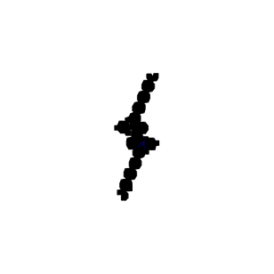 CCC(C)c1ccc(-c2ccc(-c3ccc(-c4ccc(C(c5ccc(C)cc5C)c5cc6c7ccccc7c(N(c7ccc(C)cc7C)c7ccc(-c8ccc(-c9ccc(-c%10ccc(C(C)CC)cc%10)cc9)cc8)cc7C)cc6c6ccccc56)c(C)c4)cc3)cc2)cc1